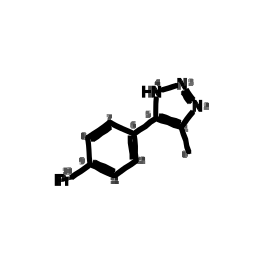 Cc1nn[nH]c1-c1ccc(C(C)C)cc1